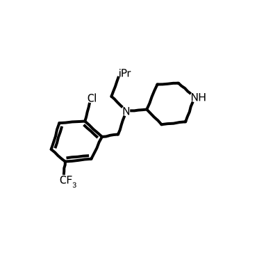 CC(C)CN(Cc1cc(C(F)(F)F)ccc1Cl)C1CCNCC1